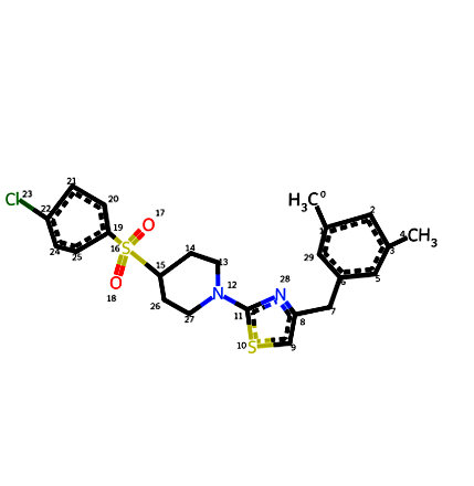 Cc1cc(C)cc(Cc2csc(N3CCC(S(=O)(=O)c4ccc(Cl)cc4)CC3)n2)c1